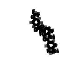 O=C(Nc1c(F)ccc(NS(=O)(=O)c2ccc(OC(F)F)cc2)c1F)c1cnc2[nH]cnc2c1